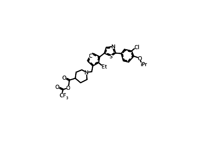 CCc1c(CN2CCC(C(=O)OC(=O)C(F)(F)F)CC2)cccc1-c1cnc(-c2ccc(OC(C)C)c(Cl)c2)s1